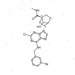 CNC(=O)[C@@]12COC(C1O)[C@H](n1cnc3c(NCc4cccc(Br)c4)nc(Cl)nc31)O2